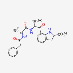 CC[C@H](C)[C@H](NC(=O)Cc1ccccc1)C(=O)NC(NC(C)=O)C(=O)c1cccc2c1NC(C(=O)O)C2